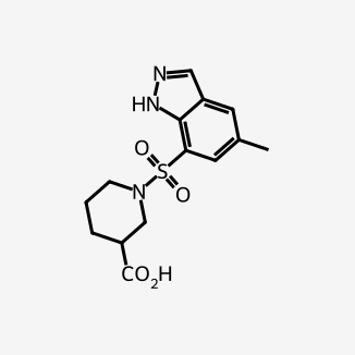 Cc1cc(S(=O)(=O)N2CCCC(C(=O)O)C2)c2[nH]ncc2c1